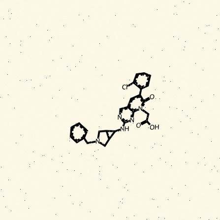 O=C(O)Cn1c(=O)c(-c2ccccc2Cl)cc2cnc(NC3C4CN(Cc5ccccc5)CC43)nc21